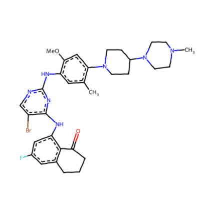 COc1cc(N2CCC(N3CCN(C)CC3)CC2)c(C)cc1Nc1ncc(Br)c(Nc2cc(F)cc3c2C(=O)CCC3)n1